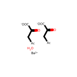 CC(=O)CC(=O)C(=O)[O-].CC(=O)CC(=O)C(=O)[O-].O.[Ba+2]